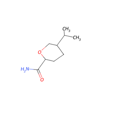 CC(C)C1CCC(C(N)=O)OC1